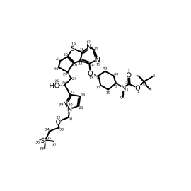 CN(C(=O)OC(C)(C)C)[C@H]1CC[C@H](Oc2ncnc3sc4c(c23)[C@@H](C[C@@H](O)c2ccn(COCC[Si](C)(C)C)n2)CC4)CC1